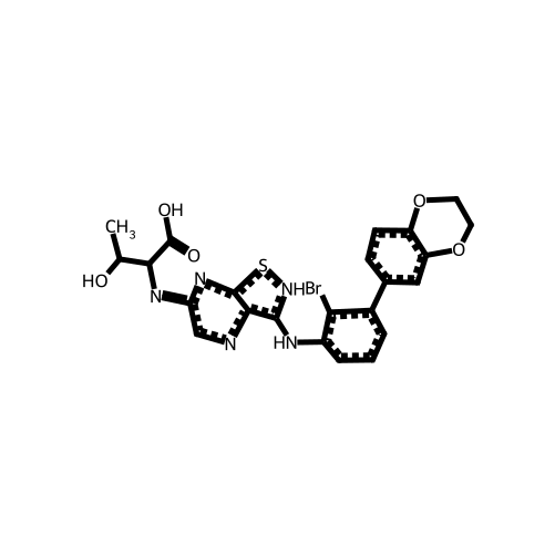 CC(O)C(N=c1cnc2c(Nc3cccc(-c4ccc5c(c4)OCCO5)c3Br)[nH]sc-2n1)C(=O)O